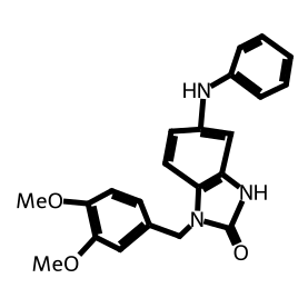 COc1ccc(Cn2c(=O)[nH]c3cc(Nc4ccccc4)ccc32)cc1OC